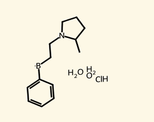 CC1CCCN1CC[B]c1ccccc1.Cl.O.O